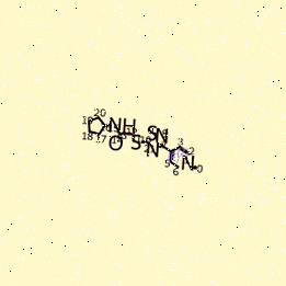 C=N/C=C\C(=C/C)c1nsc(SCC(=O)NC2CCCC2)n1